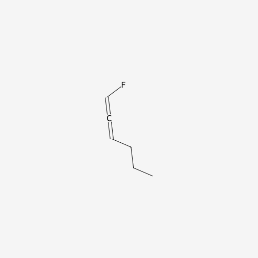 CCCC=C=CF